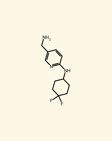 NCc1ccc(NC2CCC(F)(F)CC2)nc1